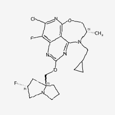 C[C@H]1COc2nc(Cl)c(F)c3nc(OC[C@@]45CCCN4C[C@H](F)C5)nc(c23)N1CC1CC1